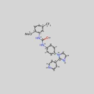 COc1ccc(C(F)(F)F)cc1NC(=O)Nc1ccc(-n2ccnc2-c2ccncc2)cc1